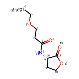 CCCCCCCCOCCC(=O)N[C@H]1CCOC1=O